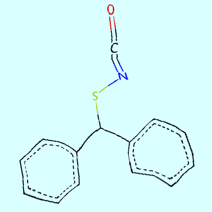 O=C=NSC(c1ccccc1)c1ccccc1